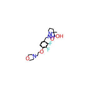 CC1(C(=O)O)CCCN1NCc1ccc(OCCN2CCOCC2)c(F)c1F